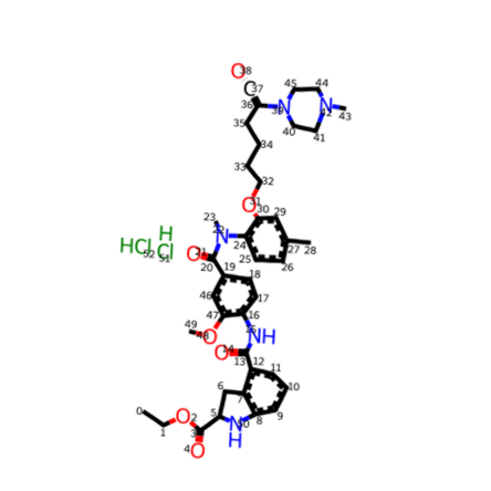 CCOC(=O)C1Cc2c(cccc2C(=O)Nc2ccc(C(=O)N(C)c3ccc(C)cc3OCCCCC(=C=O)N3CCN(C)CC3)cc2OC)N1.Cl.Cl